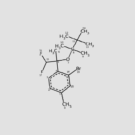 Cc1[c]cc(C(C)(O[Si](C)(C)C(C)(C)C)C(F)F)c(Br)c1